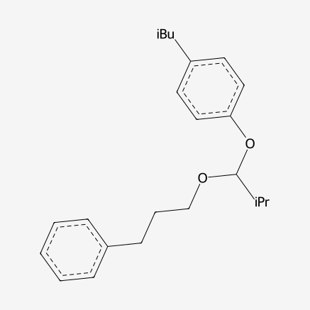 CCC(C)c1ccc(OC(OCCCc2ccccc2)C(C)C)cc1